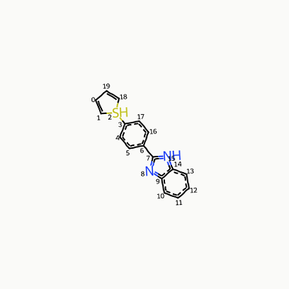 C1=C[SH](c2ccc(-c3nc4ccccc4[nH]3)cc2)C=C1